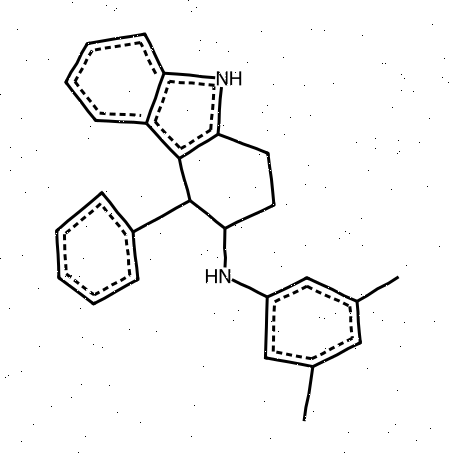 Cc1cc(C)cc(NC2CCc3[nH]c4ccccc4c3C2c2ccccc2)c1